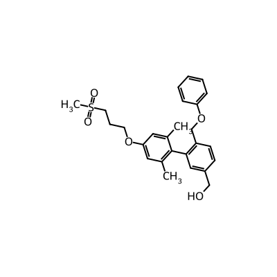 Cc1cc(OCCCS(C)(=O)=O)cc(C)c1-c1cc(CO)ccc1COc1ccccc1